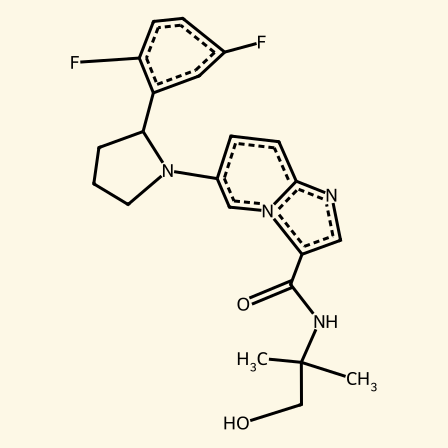 CC(C)(CO)NC(=O)c1cnc2ccc(N3CCCC3c3cc(F)ccc3F)cn12